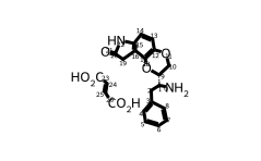 NC(Cc1ccccc1)[C@H]1COc2ccc3c(c2O1)CC(=O)N3.O=C(O)C=CC(=O)O